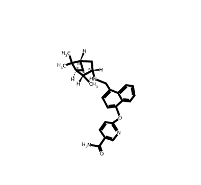 C[C@H]1[C@@H](NCc2ccc(Oc3ccc(C(N)=O)cn3)c3ccccc23)C[C@@H]2C[C@@H]1C2(C)C